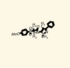 COc1ccc(S(=O)(=O)C(C)(C)C(=O)Nc2c(C)c(-c3ccccc3)nn2C)cc1